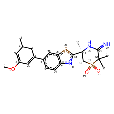 COC1=CC(C)CC(c2ccc3nc([C@]4(C)CS(=O)(=O)C(C)(C)C(=N)N4)sc3c2)=C1